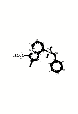 CCOC(=O)c1c(C)nc2c([N+](C)(C)Cc3ccccc3)cccn12